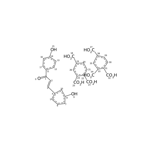 O=C(C=Cc1cccc(O)c1)c1ccc(O)cc1.O=C(O)c1ccc(C(=O)O)c(C(=O)O)c1.O=C(O)c1ccc(C(=O)O)c(C(=O)O)c1